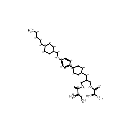 C=C(C)C(=O)OCC(COC(=O)C(=C)CO)CC1CCC(c2ccc(OCC3CCC(CCCCC)CC3)cc2)CC1